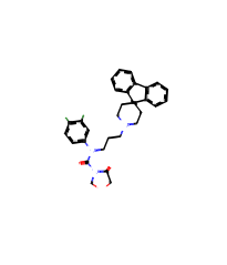 O=C1COCN1C(=O)N(CCCN1CCC2(CC1)c1ccccc1-c1ccccc12)c1ccc(F)c(F)c1